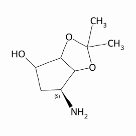 CC1(C)OC2C(O)C[C@H](N)C2O1